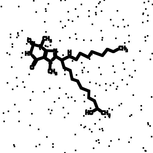 CCCCCCCCNC(CCCCCCCCC(C)O)c1nc2c(c(=O)[nH]c(=O)n2C)n1C